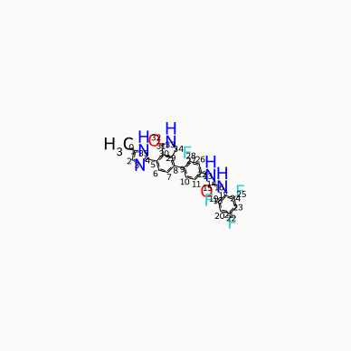 Cc1cnc(-c2ccc(-c3ccc(NC(=O)Nc4c(F)cc(F)cc4F)cc3F)c3c2C(=O)NC3)[nH]1